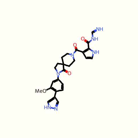 COc1cc(N2CCC3(CCN(C(=O)c4cc[nH]c4C(=O)NC=N)CC3)C2=O)ccc1-c1cn[nH]c1